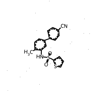 Cc1ccc(-c2ccc(C#N)cc2)cc1NS(=O)(=O)c1cccs1